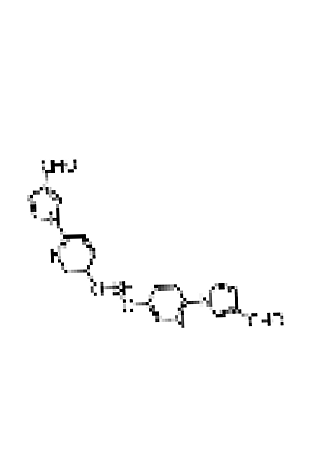 O=Cc1ccn(-c2ccc(OBOc3ccc(-n4ccc(C=O)c4)nc3)cn2)c1